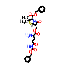 CC1(C)S[C@@H]2[C@H](COC(=O)[C@@H](N)CCC(=O)NC(=O)OCc3ccccc3)C(=O)N2[C@H]1C(=O)OCc1ccccc1